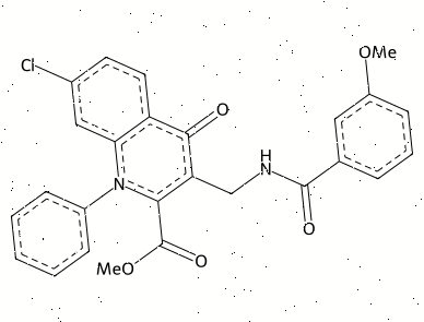 COC(=O)c1c(CNC(=O)c2cccc(OC)c2)c(=O)c2ccc(Cl)cc2n1-c1ccccc1